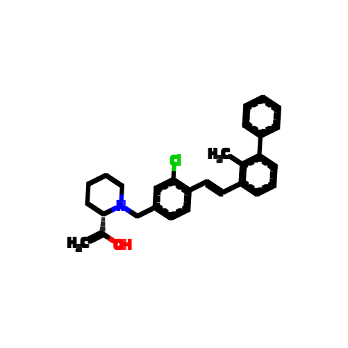 C=C(O)[C@@H]1CCCCN1Cc1ccc(/C=C/c2cccc(-c3ccccc3)c2C)c(Cl)c1